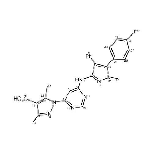 CCc1c(Nc2cc(-n3nc(C)c(C(=O)O)c3C)ncn2)nn(C)c1-c1ccc(F)cc1